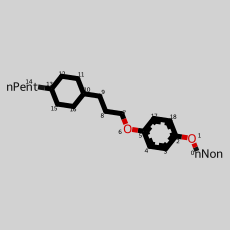 CCCCCCCCCOc1ccc(OCCCC2CCC(CCCCC)CC2)cc1